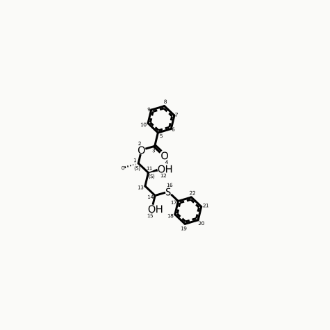 C[C@H](OC(=O)c1ccccc1)[C@@H](O)CC(O)Sc1ccccc1